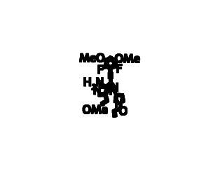 C=CC(=O)N1CC[C@H](n2nc(C#Cc3c(F)c(OC)cc(OC)c3F)c3c(N)ncc(CCOC)c32)C1